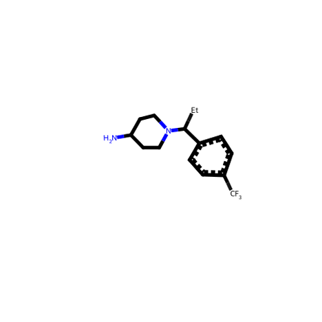 CCC(c1ccc(C(F)(F)F)cc1)N1CCC(N)CC1